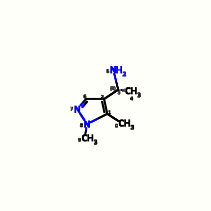 Cc1c([C@@H](C)N)cnn1C